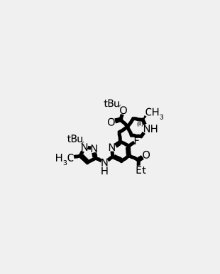 CCC(=O)c1cc(Nc2cc(C)n(C(C)(C)C)n2)nc(CC2(C(=O)OC(C)(C)C)CCN[C@H](C)C2)c1F